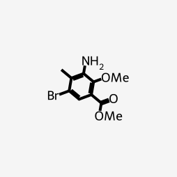 COC(=O)c1cc(Br)c(C)c(N)c1OC